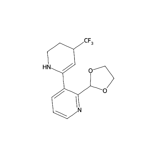 FC(F)(F)C1C=C(c2cccnc2C2OCCO2)NCC1